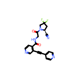 N#C[C@@H]1CC(F)(F)CN1C(=O)CNC(=O)c1ccncc1C#Cc1ccncc1